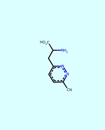 N#Cc1ccc(CC(N)C(=O)O)nn1